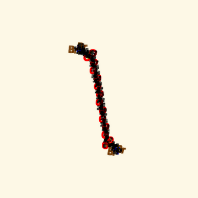 CC(C)(CCS(=O)(=O)CCOCCOCCOCCOCCOCCOCCOCCOCCOCCOCCS(=O)(=O)CCC(C)(C)N(Br)Br)N(Br)Br